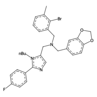 CCCCn1c(CN(Cc2ccc3c(c2)OCO3)Cc2cccc(C)c2Br)cnc1-c1ccc(F)cc1